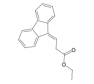 CCOC(=O)CC=C1c2ccccc2-c2ccccc21